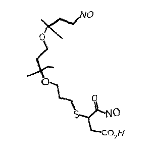 CC(C)(CCN=O)OCCC(C)(C)OCCCSC(CC(=O)O)C(=O)N=O